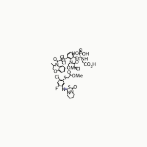 CC1COc2ccccc2N1C(=O)C(Cl)Cl.CCc1cccc(CC)c1N(COC)C(=O)CCl.COC(=O)CSc1cc(/N=c2\sc(=O)n3n2CCCC3)c(F)cc1Cl.O=C(O)CNCP(=O)(O)O